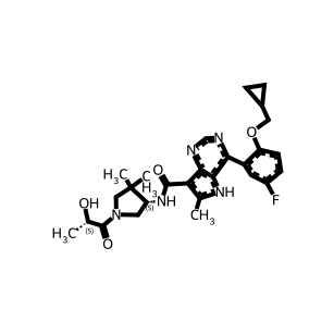 Cc1[nH]c2c(-c3cc(F)ccc3OCC3CC3)ncnc2c1C(=O)N[C@@H]1CN(C(=O)[C@H](C)O)CC1(C)C